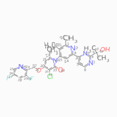 Cc1nc(-c2ccnc(C(C)(C)O)n2)cc(-n2c(C)cc(OCc3ncc(F)cc3F)c(Cl)c2=O)c1C